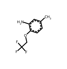 Cc1ccc(OCC(F)(F)F)c(N)c1